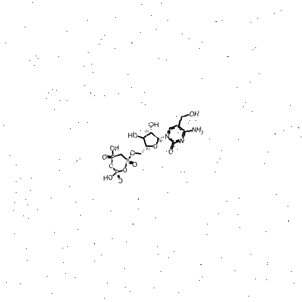 Nc1nc(=O)n([C@@H]2O[C@H](COP3(=O)CP(=O)(O)OP(=O)(O)O3)C(O)[C@@H]2O)cc1CO